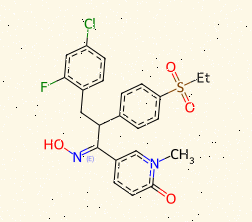 CCS(=O)(=O)c1ccc(C(Cc2ccc(Cl)cc2F)/C(=N\O)c2ccc(=O)n(C)c2)cc1